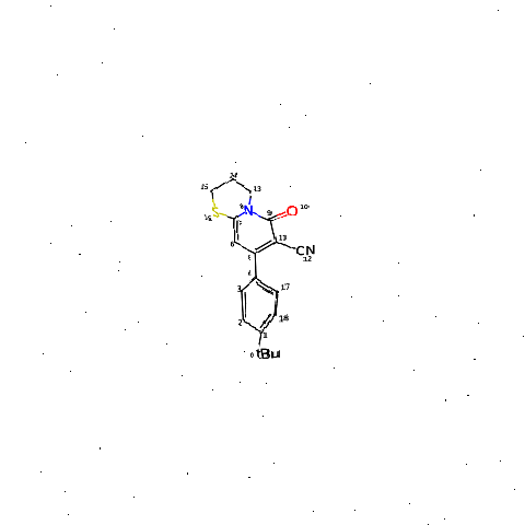 CC(C)(C)c1ccc(-c2cc3n(c(=O)c2C#N)CCCS3)cc1